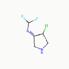 FC(F)N=C1CNCC1Cl